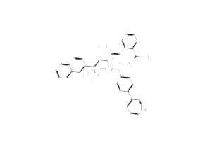 C=C(C)c1ccccc1/C=C(\C)C(/C=C(\N)c1ccc2ccccc2c1)NCc1ccc(-c2cccnc2)cc1